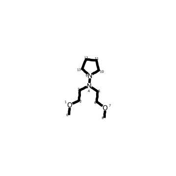 COCCN(CCOC)N1CCCC1